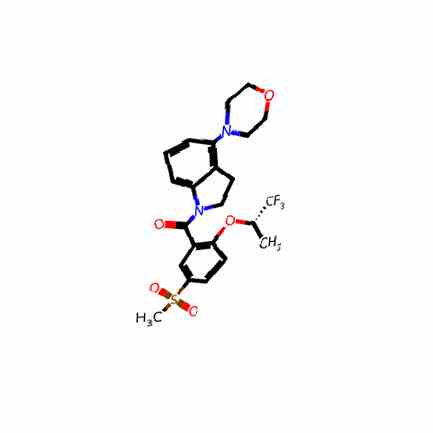 C[C@H](Oc1ccc(S(C)(=O)=O)cc1C(=O)N1CCc2c(N3CCOCC3)cccc21)C(F)(F)F